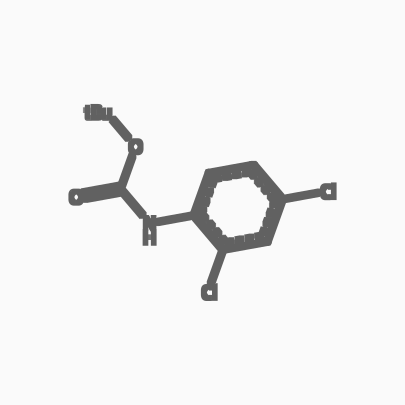 CC(C)(C)OC(=O)Nc1ccc(Cl)cc1Cl